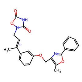 C/C(=C\Cn1oc(=O)[nH]c1=O)c1cccc(OCc2nc(-c3ccccc3)oc2C)c1